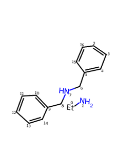 CCN.c1ccc(CNCc2ccccc2)cc1